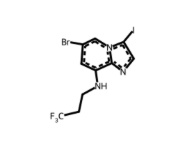 FC(F)(F)CCNc1cc(Br)cn2c(I)cnc12